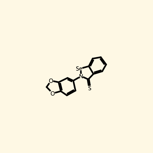 S=c1c2ccccc2[se]n1-c1ccc2c(c1)OCO2